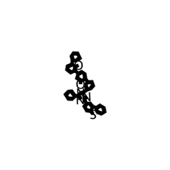 c1ccc(-c2nc(-c3ccc4sc5ccccc5c4c3)nc(-c3cccc4c3oc3cc(-c5cccc6c5oc5ccccc56)ccc34)n2)cc1